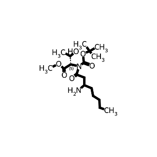 CCCCCC(N)CC(=O)N(C(=O)OC(C)(C)C)[C@H](C(=O)OC)C(C)O